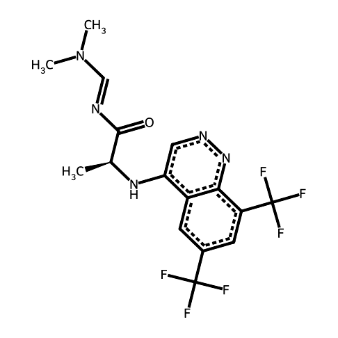 C[C@H](Nc1cnnc2c(C(F)(F)F)cc(C(F)(F)F)cc12)C(=O)/N=C/N(C)C